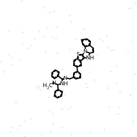 C=NC(N/C(=N\Cc1cccc(-c2ccc3sc4c(c3c2)NC2C=Cc3ccccc3N42)c1)c1ccccc1)c1ccccc1